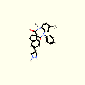 CCN1C(=O)C2(CCc3cc(-c4cnn(C)c4)ccc32)C(=O)N(c2ccccc2)c2cc(C(F)(F)F)ccc21